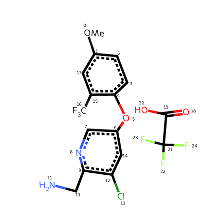 COc1ccc(Oc2cnc(CN)c(Cl)c2)c(C(F)(F)F)c1.O=C(O)C(F)(F)F